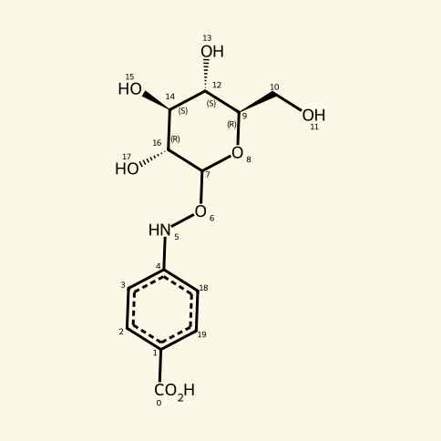 O=C(O)c1ccc(NOC2O[C@H](CO)[C@@H](O)[C@H](O)[C@H]2O)cc1